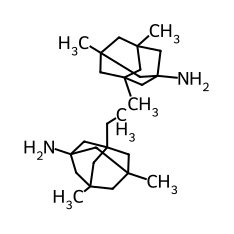 CC12CC3(C)CC(C)(C1)CC(N)(C2)C3.CCC12CC3(C)CC(C)(CC(N)(C3)C1)C2